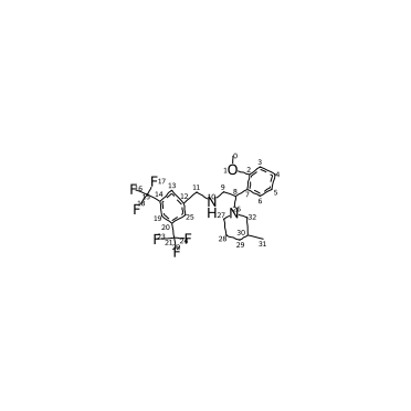 COc1ccccc1C(CNCc1cc(C(F)(F)F)cc(C(F)(F)F)c1)N1CCCC(C)C1